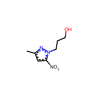 Cc1cc([N+](=O)[O-])n(CCCO)n1